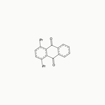 CC(C)c1ccc(C(C)C)c2c1C(=O)c1ccccc1C2=O